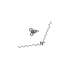 CCCCCCCCCCCC[N+](C)(C)CCCCCCCCCCCC.[O-][Br+2]([O-])[O-]